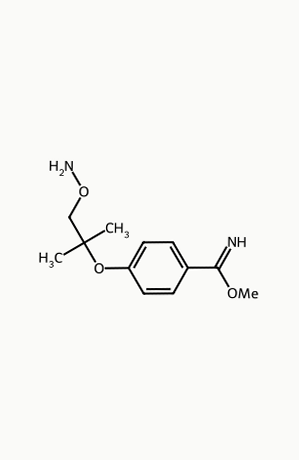 COC(=N)c1ccc(OC(C)(C)CON)cc1